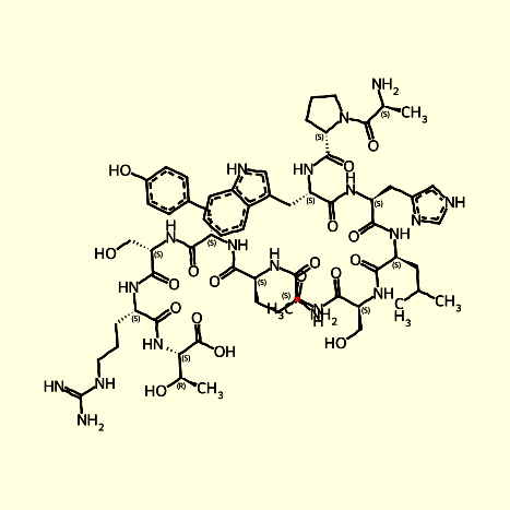 CC(C)C[C@H](NC(=O)[C@H](Cc1c[nH]cn1)NC(=O)[C@H](Cc1c[nH]c2ccccc12)NC(=O)[C@@H]1CCCN1C(=O)[C@H](C)N)C(=O)N[C@@H](CO)C(=O)N[C@@H](C)C(=O)N[C@@H](CCC(N)=O)C(=O)N[C@@H](Cc1ccc(O)cc1)C(=O)N[C@@H](CO)C(=O)N[C@@H](CCCNC(=N)N)C(=O)N[C@H](C(=O)O)[C@@H](C)O